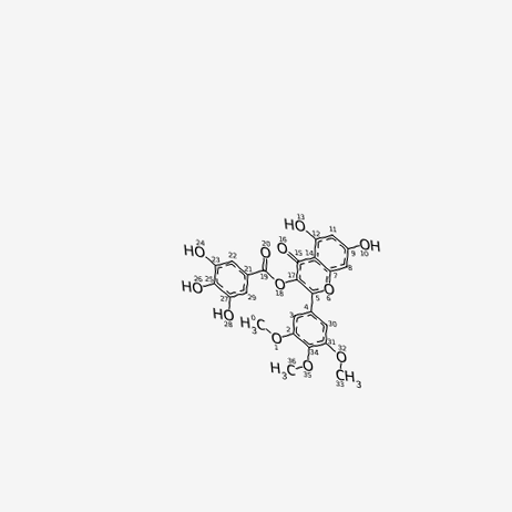 COc1cc(-c2oc3cc(O)cc(O)c3c(=O)c2OC(=O)c2cc(O)c(O)c(O)c2)cc(OC)c1OC